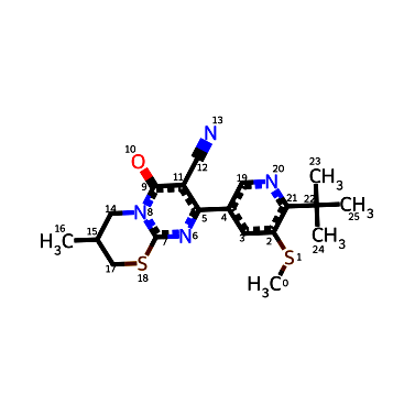 CSc1cc(-c2nc3n(c(=O)c2C#N)CC(C)CS3)cnc1C(C)(C)C